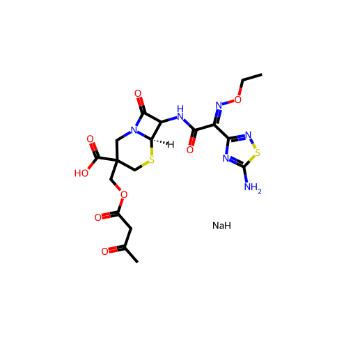 CCON=C(C(=O)NC1C(=O)N2CC(COC(=O)CC(C)=O)(C(=O)O)CS[C@H]12)c1nsc(N)n1.[NaH]